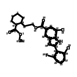 CC(C)(C)OC(=O)N1CCCCC1CCOC(=O)c1cc(Cl)c2[nH]c(-c3c(F)cccc3Cl)nc2c1